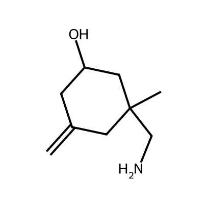 C=C1CC(O)CC(C)(CN)C1